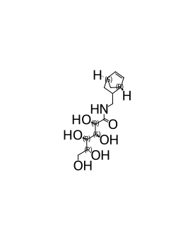 O=C(NCC1C[C@H]2C=C[C@H]1C2)[C@H](O)[C@@H](O)[C@H](O)[C@H](O)CO